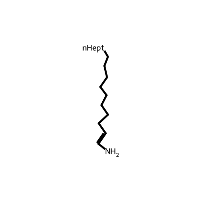 CCCCCCCCCCCCCCC/C=C/N